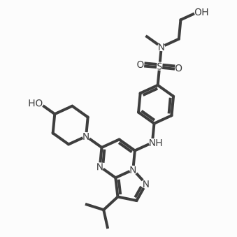 CC(C)c1cnn2c(Nc3ccc(S(=O)(=O)N(C)CCO)cc3)cc(N3CCC(O)CC3)nc12